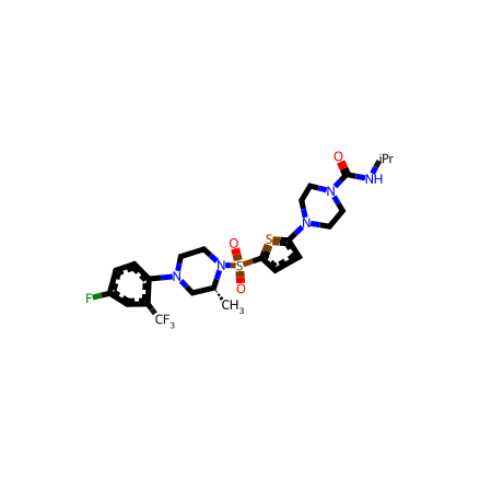 CC(C)NC(=O)N1CCN(c2ccc(S(=O)(=O)N3CCN(c4ccc(F)cc4C(F)(F)F)C[C@H]3C)s2)CC1